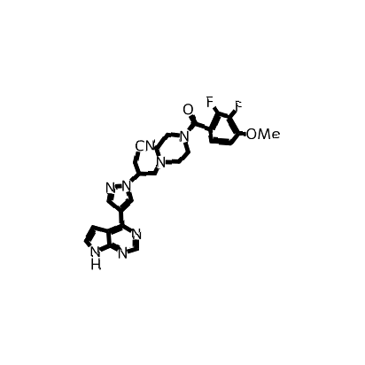 COc1ccc(C(=O)N2CCN(CC(CC#N)n3cc(-c4ncnc5[nH]ccc45)cn3)CC2)c(F)c1F